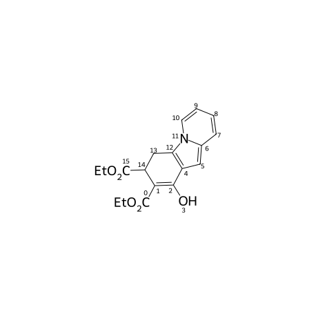 CCOC(=O)C1=C(O)c2cc3ccccn3c2CC1C(=O)OCC